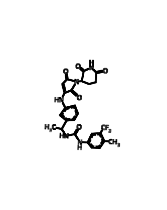 Cc1ccc(NC(=O)NC(C)c2cccc(NC3=CC(=O)N(C4CCC(=O)NC4=O)C3=O)c2)cc1C(F)(F)F